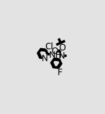 CN(C(=O)OC(C)(C)C)c1cc(F)ccc1Nc1ncccc1Cl